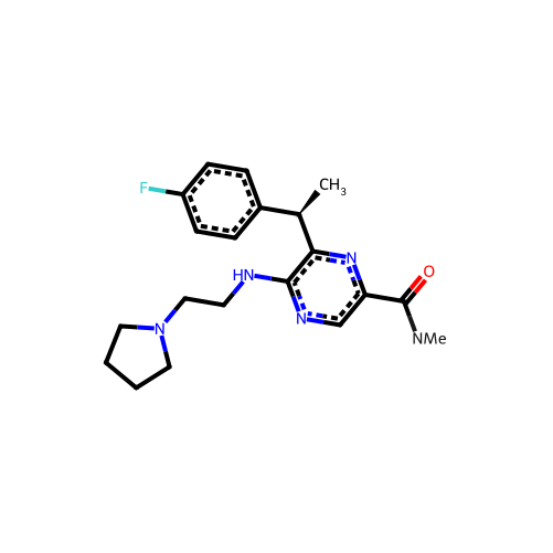 CNC(=O)c1cnc(NCCN2CCCC2)c([C@H](C)c2ccc(F)cc2)n1